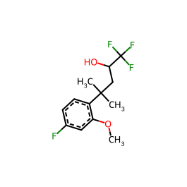 COc1cc(F)ccc1C(C)(C)CC(O)C(F)(F)F